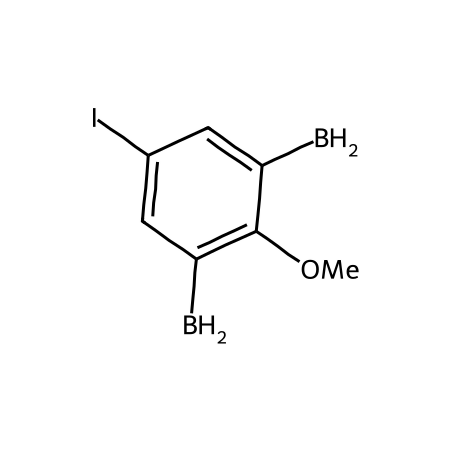 Bc1cc(I)cc(B)c1OC